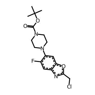 CC(C)(C)OC(=O)N1CCN(c2cc3oc(CCl)nc3cc2F)CC1